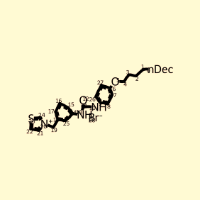 CCCCCCCCCCCCCCOc1ccc(NC(=O)Nc2cccc(C[n+]3ccsc3)c2)cc1.[Br-]